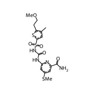 COCCc1sc(S(=O)(=O)NC(=O)Nc2cc(SC)cc(C(N)=O)n2)cc1C